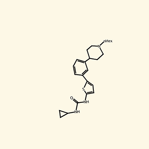 CCCCCCN1CCC(c2cccc(-c3ccc(NC(=O)NC4CC4)s3)c2)CC1